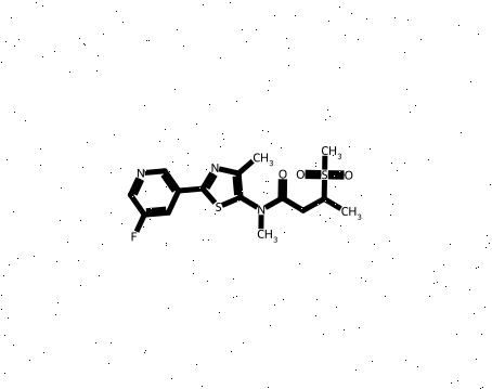 Cc1nc(-c2cncc(F)c2)sc1N(C)C(=O)CC(C)S(C)(=O)=O